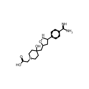 N=C(N)c1ccc(C2CC(CC3(O)CCN(CC(=O)O)CC3)ON2)cc1